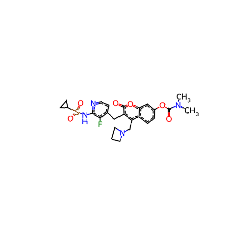 CN(C)C(=O)Oc1ccc2c(CN3CCC3)c(Cc3ccnc(NS(=O)(=O)C4CC4)c3F)c(=O)oc2c1